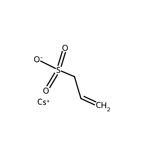 C=CCS(=O)(=O)[O-].[Cs+]